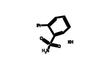 CC(C)c1ccccc1S(N)(=O)=O.[KH]